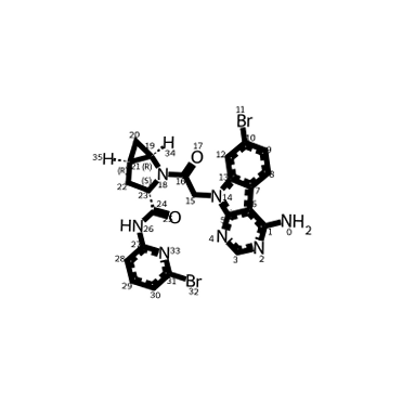 Nc1ncnc2c1c1ccc(Br)cc1n2CC(=O)N1[C@@H]2C[C@@H]2C[C@H]1C(=O)Nc1cccc(Br)n1